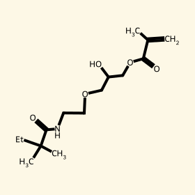 C=C(C)C(=O)OCC(O)COCCNC(=O)C(C)(C)CC